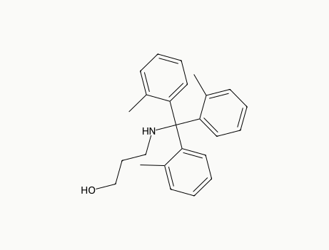 Cc1ccccc1C(NCCCO)(c1ccccc1C)c1ccccc1C